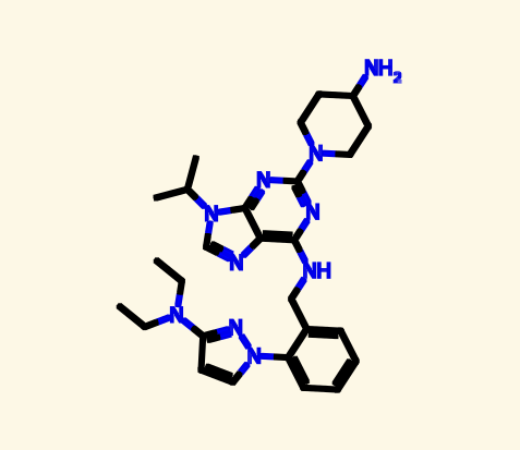 CCN(CC)c1ccn(-c2ccccc2CNc2nc(N3CCC(N)CC3)nc3c2ncn3C(C)C)n1